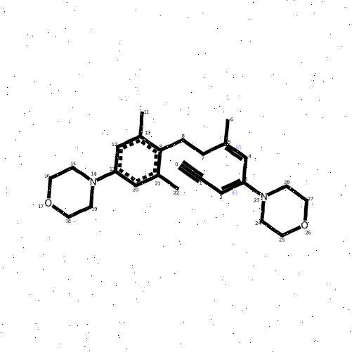 C#C/C=C(\C=C(\C)CCc1c(C)cc(N2CCOCC2)cc1C)N1CCOCC1